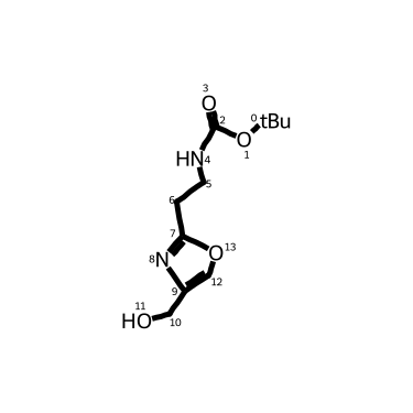 CC(C)(C)OC(=O)NCCc1nc(CO)co1